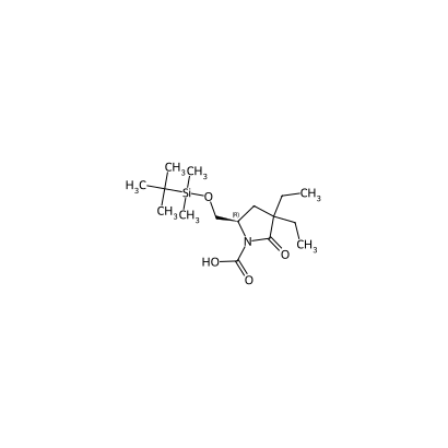 CCC1(CC)C[C@H](CO[Si](C)(C)C(C)(C)C)N(C(=O)O)C1=O